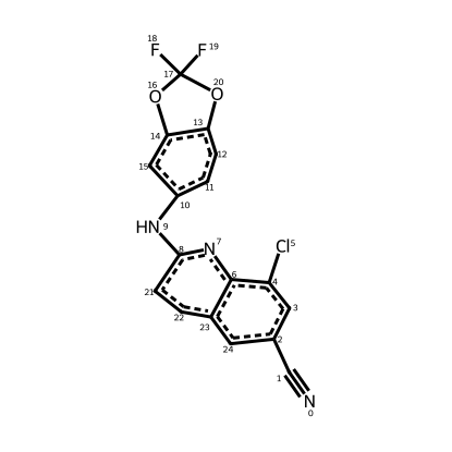 N#Cc1cc(Cl)c2nc(Nc3ccc4c(c3)OC(F)(F)O4)ccc2c1